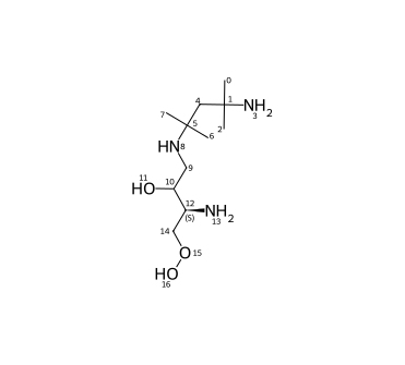 CC(C)(N)CC(C)(C)NCC(O)[C@@H](N)COO